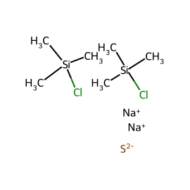 C[Si](C)(C)Cl.C[Si](C)(C)Cl.[Na+].[Na+].[S-2]